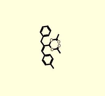 CC(=O)OC(OC(C)=O)C(=Cc1ccc(C)cc1)Cc1ccccc1